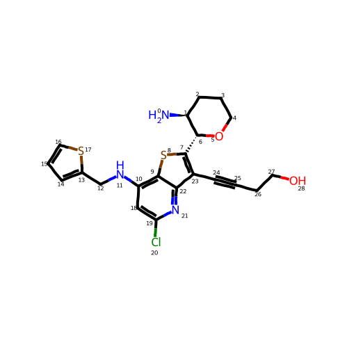 N[C@H]1CCCO[C@@H]1c1sc2c(NCc3cccs3)cc(Cl)nc2c1C#CCCO